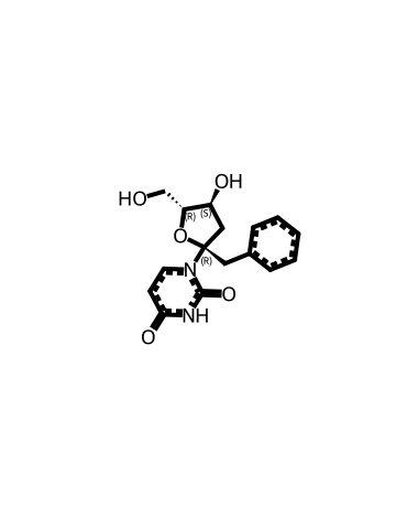 O=c1ccn([C@@]2(Cc3ccccc3)C[C@H](O)[C@@H](CO)O2)c(=O)[nH]1